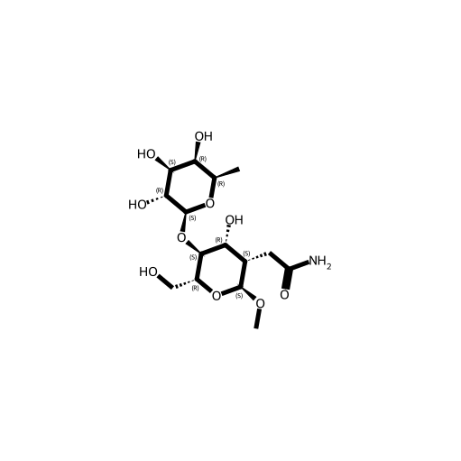 CO[C@H]1O[C@H](CO)[C@@H](O[C@@H]2O[C@H](C)[C@H](O)[C@H](O)[C@H]2O)[C@H](O)[C@@H]1CC(N)=O